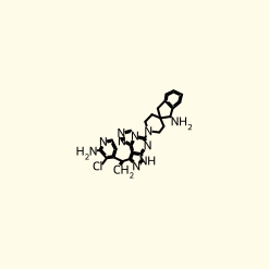 C=C(c1ccnc(N)c1Cl)c1n[nH]c2nc(N3CCC4(CC3)Cc3ccccc3[C@H]4N)n3cnnc3c12